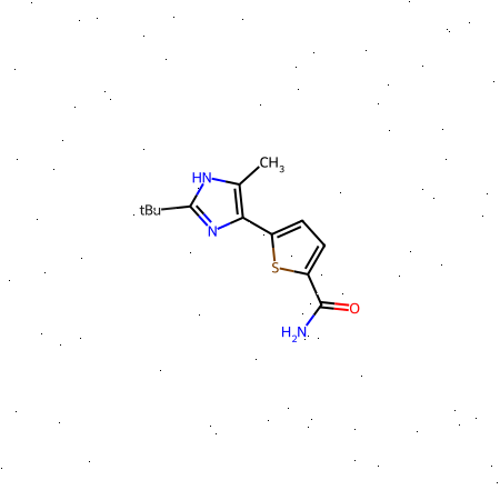 Cc1[nH]c(C(C)(C)C)nc1-c1ccc(C(N)=O)s1